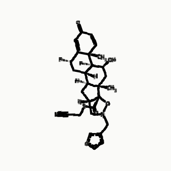 C[C@]12C=CC(=O)C=C1[C@@H](F)C[C@H]1[C@@H]3C[C@H]4CN(Cc5ccoc5)O[C@@]4(C(=O)SCC#N)[C@@]3(C)C[C@H](O)[C@@]12F